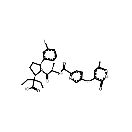 CCC(CC)(C(=O)O)[C@H]1CC[C@@H](c2cccc(F)c2)N1C(=O)[C@@H](C)NC(=O)c1ccc(Oc2cc(C)n[nH]c2=O)cn1